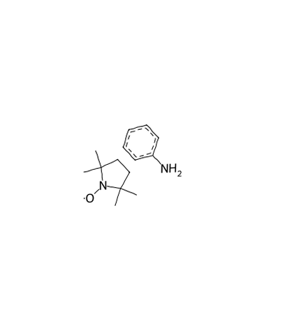 CC1(C)CCC(C)(C)N1[O].Nc1ccccc1